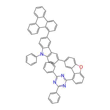 c1ccc(-c2nc(-c3ccccc3)nc(-c3cccc4oc5ccc(-c6ccc7c(c6)c6cc(-c8cccc9c%10ccccc%10c%10ccccc%10c89)ccc6n7-c6ccccc6)cc5c34)n2)cc1